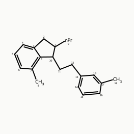 CCCC1Cc2cccc(C)c2C1CCc1cccc(C)c1